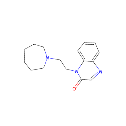 O=c1cnc2ccccc2n1CCN1CCCCCC1